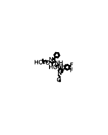 COCCN1C[C@@H](NC(O)Nc2c(C)c(OCC(C)(C)O)nn2-c2ccccc2)[C@H](c2ccc(F)c(F)c2)C1